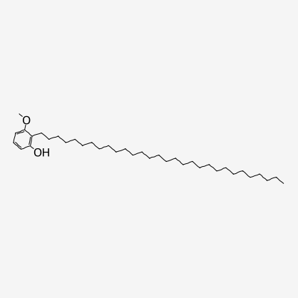 CCCCCCCCCCCCCCCCCCCCCCCCCCCCCCc1c(O)cccc1OC